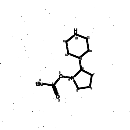 CC(C)(C)C(=O)ON1CCCC1C1CCNCC1